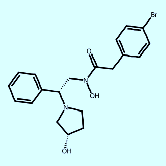 O=C(Cc1ccc(Br)cc1)N(O)C[C@@H](c1ccccc1)N1CC[C@H](O)C1